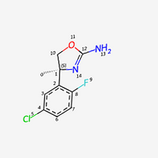 C[C@]1(c2cc(Cl)ccc2F)COC(N)=N1